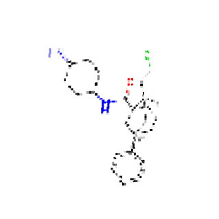 N=C1CCC(NC(=O)C23CC4CC2(CCCl)C[C@](c2ccccc2)(C4)C3)CC1